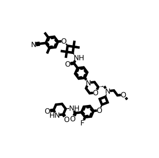 COCCN(C[C@H]1CN(c2ccc(C(=O)N[C@H]3C(C)(C)[C@H](Oc4cc(C)c(C#N)c(C)c4)C3(C)C)cc2)CCO1)[C@H]1C[C@H](Oc2ccc(C(=O)N[C@H]3CCC(=O)NC3=O)c(F)c2)C1